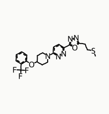 CSCCc1nnc(-c2ccc(N3CCC(Oc4ccccc4C(F)(F)F)CC3)nn2)o1